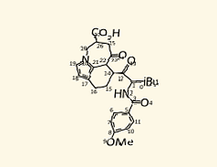 CCC(C)C(NC(=O)c1ccc(OC)cc1)C(=O)[C@H]1CCc2ccn3c2C1C(=O)C[C@H](C(=O)O)C3